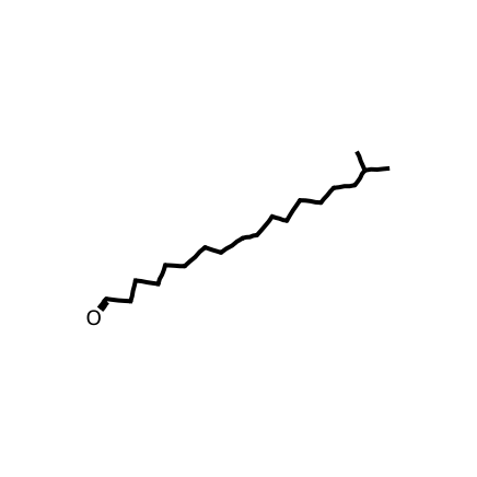 CC(C)CCCCCCCCCCCCCCCC=O